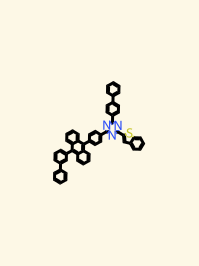 c1ccc(-c2ccc(-c3nc(-c4ccc(-c5c6ccccc6c(-c6cccc(-c7ccccc7)c6)c6ccccc56)cc4)nc(-c4cc5ccccc5s4)n3)cc2)cc1